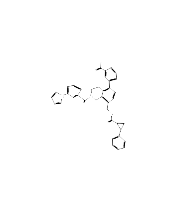 O=C(O)c1cccc(-c2ccc(CNC(=O)C3CC3c3ccccc3)c3c2CCN(C(=O)c2cccc(-n4cccc4)c2)C3)c1